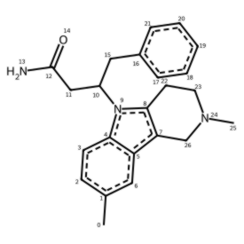 Cc1ccc2c(c1)c1c(n2C(CC(N)=O)Cc2ccccc2)CCN(C)C1